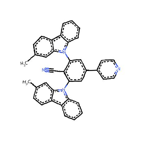 Cc1ccc2c3ccccc3n(-c3cc(-c4ccncc4)cc(-n4c5ccccc5c5ccc(C)cc54)c3C#N)c2c1